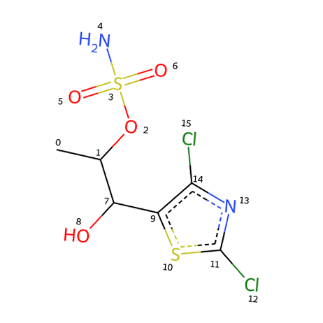 CC(OS(N)(=O)=O)C(O)c1sc(Cl)nc1Cl